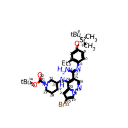 CCc1cc(O[Si](C)(C)C(C)(C)C)ccc1/N=C(\N)c1cnn2cc(Br)cc2c1NC1CCCN(C(=O)OC(C)(C)C)C1